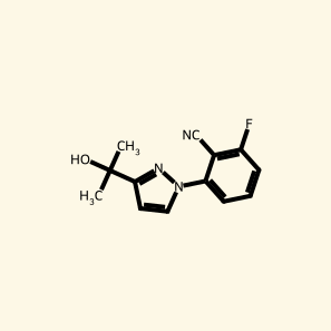 CC(C)(O)c1ccn(-c2cccc(F)c2C#N)n1